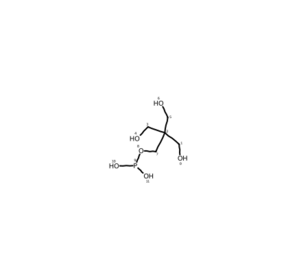 OCC(CO)(CO)COP(O)O